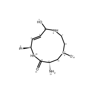 CC(C)[C@H]1/C=C/C(O)NCC[S+]([O-])C[C@H](N)C(=O)N1